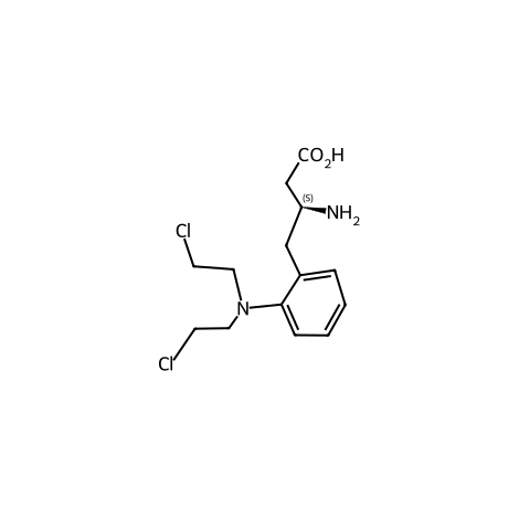 N[C@H](CC(=O)O)Cc1ccccc1N(CCCl)CCCl